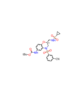 CC(C)(C)OC(=O)Nc1ccc2c(c1)N(S(=O)(=O)c1cccc(C#N)c1)C[C@H](CNS(=O)(=O)C1CC1)O2